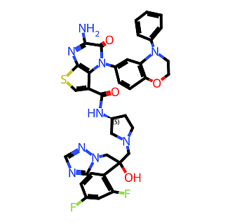 Nc1nc2scc(C(=O)N[C@H]3CCN(CC(O)(Cn4cncn4)c4ccc(F)cc4F)C3)c2n(-c2ccc3c(c2)N(c2ccccc2)CCO3)c1=O